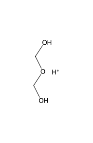 OCOCO.[H+]